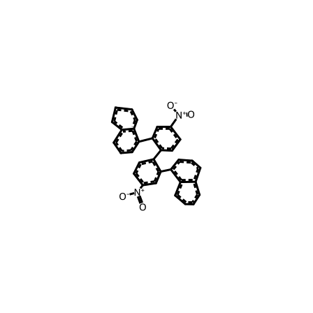 O=[N+]([O-])c1ccc(-c2ccc([N+](=O)[O-])cc2-c2cccc3ccccc23)c(-c2cccc3ccccc23)c1